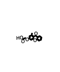 Cc1cc(OCC(=O)O)cc2oc3ccccc3c(=O)c12